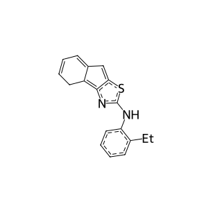 CCc1ccccc1Nc1nc2c(s1)=CC1=CC=CCC=21